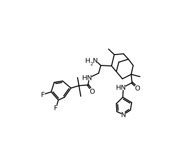 CC1CC2CC(CC(C)(C(=O)Nc3ccncc3)C2)C1C(N)CNC(=O)C(C)(C)c1ccc(F)c(F)c1